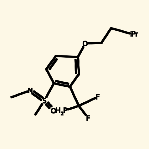 CN=S(C)(=O)c1ccc(OCCC(C)C)cc1C(F)(F)P